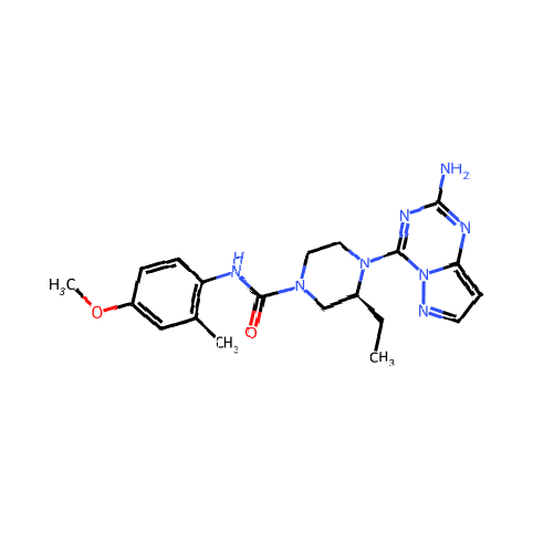 CC[C@H]1CN(C(=O)Nc2ccc(OC)cc2C)CCN1c1nc(N)nc2ccnn12